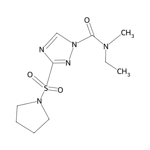 CCN(C)C(=O)n1cnc(S(=O)(=O)N2CCCC2)n1